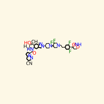 CC(C)(O)c1cc2nn(C3CCN([C@@H]4CCN(CCc5cc(F)c([C@H]6CCONO6)c(F)c5)CC4(F)F)CC3)cc2cc1NC(=O)c1ccc2cc(C#N)cnn12